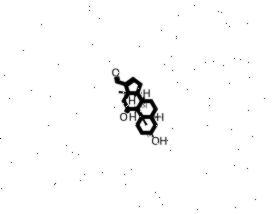 C[C@]12CC[C@@H](O)C[C@@H]1CC[C@@H]1[C@@H]2C(=O)C[C@]2(C)C(C=O)=CC[C@@H]12